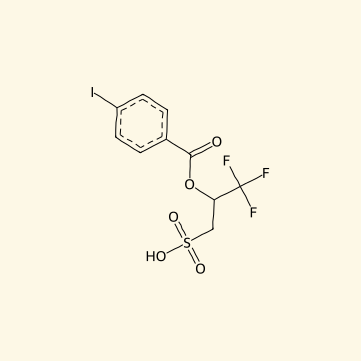 O=C(OC(CS(=O)(=O)O)C(F)(F)F)c1ccc(I)cc1